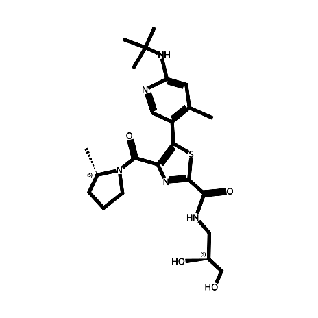 Cc1cc(NC(C)(C)C)ncc1-c1sc(C(=O)NC[C@H](O)CO)nc1C(=O)N1CCC[C@@H]1C